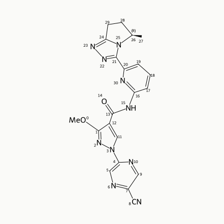 COc1nn(-c2cnc(C#N)cn2)cc1C(=O)Nc1cccc(-c2nnc3n2[C@H](C)CC3)n1